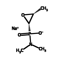 C[C@H]1O[C@H]1P(=O)([O-])N(C)C.[Na+]